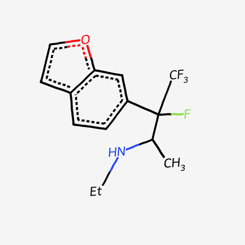 CCNC(C)C(F)(c1ccc2ccoc2c1)C(F)(F)F